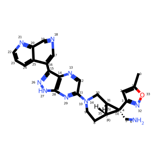 Cc1cc([C@@]2(CN)[C@@H]3CCN(c4cnc5c(-c6cncc7ncccc67)n[nH]c5n4)C[C@@H]32)no1